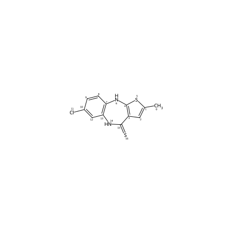 Cc1cc2c(s1)Nc1ccc(Cl)cc1NC2=S